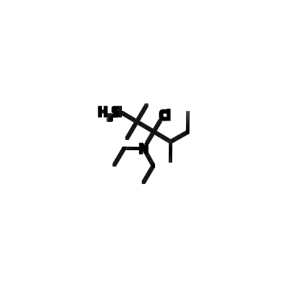 CCC(C)C(Cl)(N(CC)CC)C(C)(C)[SiH3]